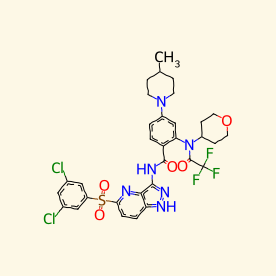 CC1CCN(c2ccc(C(=O)Nc3n[nH]c4ccc(S(=O)(=O)c5cc(Cl)cc(Cl)c5)nc34)c(N(C(=O)C(F)(F)F)C3CCOCC3)c2)CC1